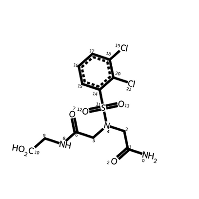 NC(=O)CN(CC(=O)NCC(=O)O)S(=O)(=O)c1cccc(Cl)c1Cl